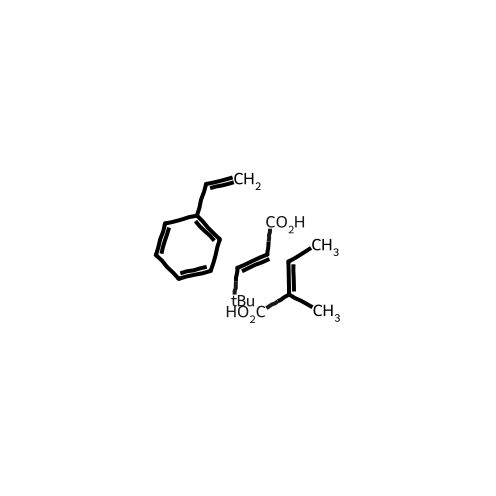 C=Cc1ccccc1.CC(C)(C)C=CC(=O)O.CC=C(C)C(=O)O